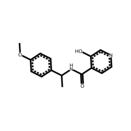 COc1ccc(C(C)NC(=O)c2ccncc2O)cc1